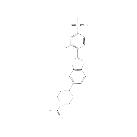 CC(=O)N1CCC(c2ccc3nc(-c4ccc(S(C)(=O)=O)cc4F)sc3c2)CC1